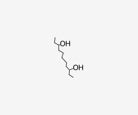 CCC(O)CCCCCC(O)CC